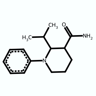 CC(C)C1C(C(N)=O)CCCN1c1ccccc1